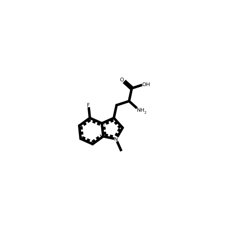 Cn1cc(CC(N)C(=O)O)c2c(F)cccc21